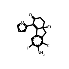 CCC12CCC(=O)C(c3ccco3)=C1c1cc(F)c(N)c(Cl)c1C2